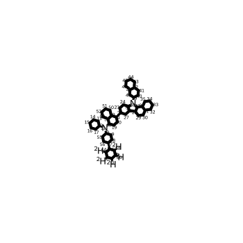 [2H]c1c([2H])c([2H])c(-c2ccc(N(c3ccccc3)c3ccc(-c4ccc5c(c4)c4ccc6ccccc6c4n5-c4ccc5ccccc5c4)c4ccccc34)cc2)c([2H])c1[2H]